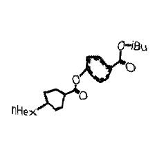 CCCCCCC1CCC(C(=O)Oc2ccc(C(=O)OC(C)CC)cc2)CC1